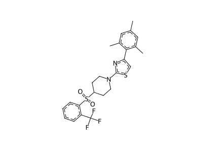 Cc1cc(C)c(-c2csc(N3CCC(S(=O)(=O)c4ccccc4C(F)(F)F)CC3)n2)c(C)c1